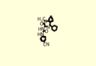 CN1C(=O)C(NC(=O)Nc2ccc(C#N)cc2)N=C(C2CCCCC2)c2ccccc21